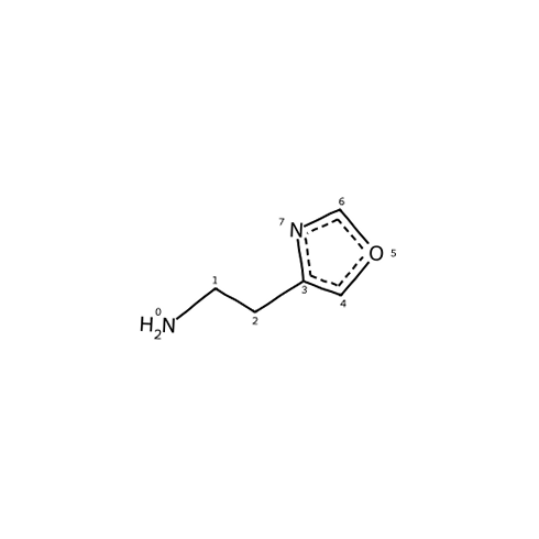 NCCc1cocn1